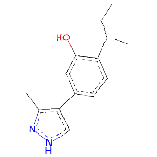 CCC(C)c1ccc(-c2c[nH]nc2C)cc1O